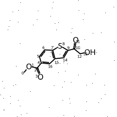 COC(=O)c1ccc2sc(C(=O)CO)cc2c1